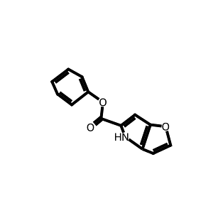 O=C(Oc1ccccc1)c1cc2occc2[nH]1